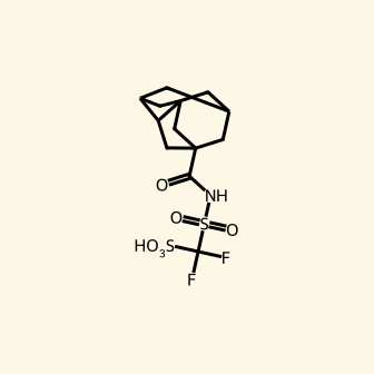 O=C(NS(=O)(=O)C(F)(F)S(=O)(=O)O)C12CC3CC4CC(C3)(C1)C4C2